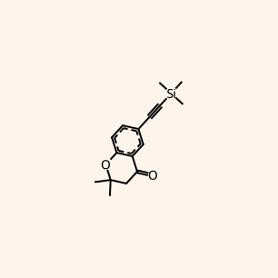 CC1(C)CC(=O)c2cc(C#C[Si](C)(C)C)ccc2O1